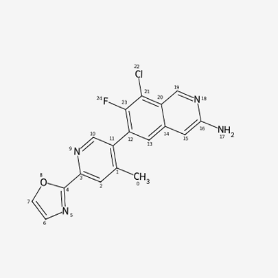 Cc1cc(-c2ncco2)ncc1-c1cc2cc(N)ncc2c(Cl)c1F